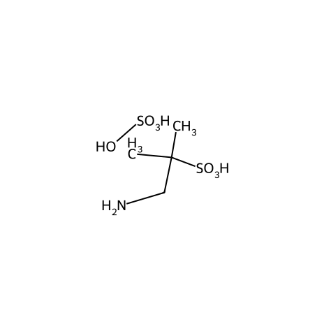 CC(C)(CN)S(=O)(=O)O.O=S(=O)(O)O